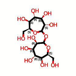 OC[C@@H]1OC(OC2O[C@@H](CO)[C@@H](O)[C@H](O)[C@@H](O)[C@H]2O)[C@@H](O)[C@H](O)[C@@H](O)[C@@H]1O